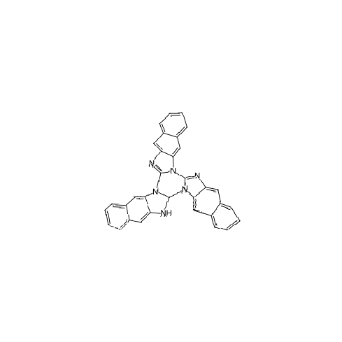 c1ccc2cc3c(cc2c1)NC1N3c2nc3cc4ccccc4cc3n2-c2nc3cc4ccccc4cc3n21